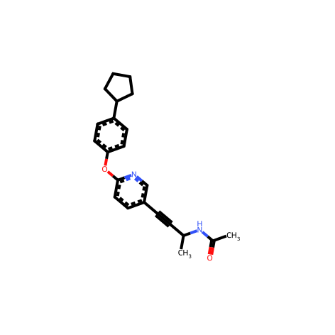 CC(=O)NC(C)C#Cc1ccc(Oc2ccc(C3CCCC3)cc2)nc1